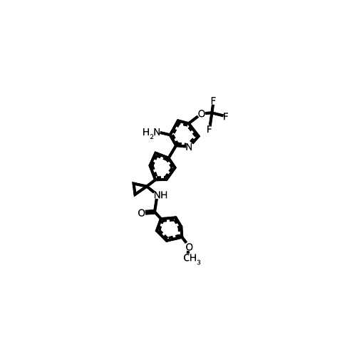 COc1ccc(C(=O)NC2(c3ccc(-c4ncc(OC(F)(F)F)cc4N)cc3)CC2)cc1